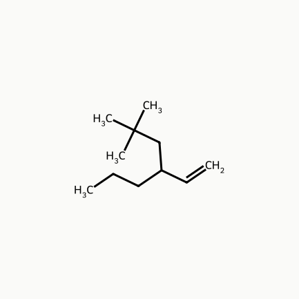 C=CC(CCC)CC(C)(C)C